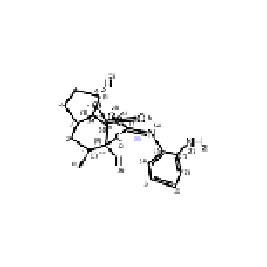 C[C@H]1CC2CC[C@H]3OC(=O)C4[C@@H]1C/C(=N\c1ccccc1N)CO[C@@]243